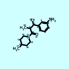 CCC(c1cccc(N)c1)C(C)C(=O)N1CCC(C)CC1